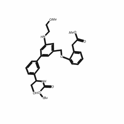 COCCNc1cc(COc2ccccc2CC(=O)OC)cc(-c2cccc(C(CO)NC(=O)OC(C)(C)C)c2)c1